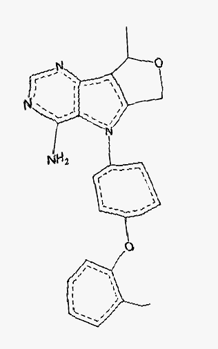 Cc1ccccc1Oc1ccc(-n2c3c(c4ncnc(N)c42)C(C)OC3)cc1